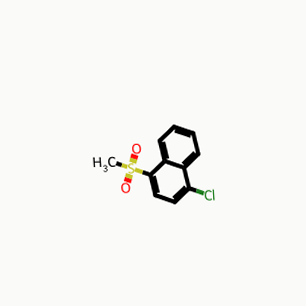 CS(=O)(=O)c1ccc(Cl)c2ccccc12